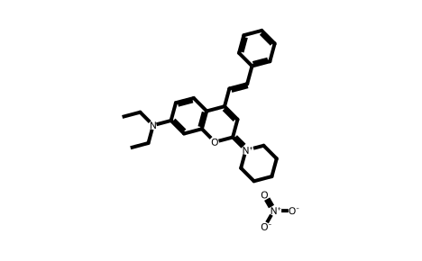 CCN(CC)c1ccc2c(/C=C/c3ccccc3)cc(=[N+]3CCCCC3)oc2c1.O=[N+]([O-])[O-]